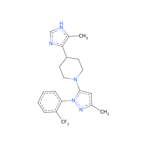 Cc1cc(N2CCC(c3nc[nH]c3C)CC2)n(-c2ccccc2C(F)(F)F)n1